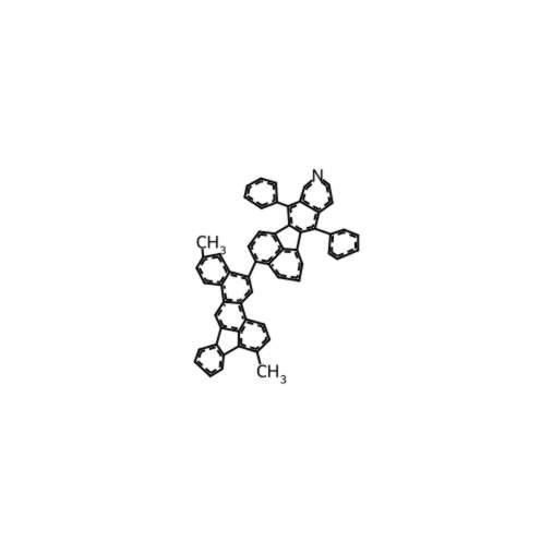 Cc1ccc2c(c1)c(-c1ccc3c4c(cccc14)-c1c-3c(-c3ccccc3)c3cnccc3c1-c1ccccc1)cc1c3ccc(C)c4c3c(cc21)-c1ccccc1-4